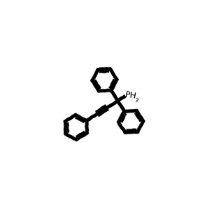 PC(C#Cc1ccccc1)(c1ccccc1)c1ccccc1